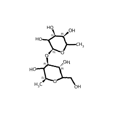 CC1O[C@@H](O[C@@H]2C(O)[C@H](C)OC(CO)[C@H]2O)C(O)[C@@H](O)[C@H]1O